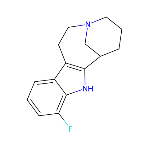 Fc1cccc2c3c([nH]c12)C1CCCN(CC3)C1